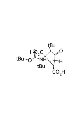 CC(C)(C)OC(=O)N[C@@]1(C(=O)O)C(C(C)(C)C)C(=O)[C@@H]2[C@@H](C(=O)O)[C@]21C(C)(C)C